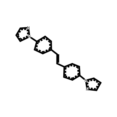 C(=Cc1ccc(-n2cccn2)cc1)c1ccc(-n2cccn2)cc1